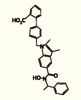 Cc1c(C)n(Cc2ccc(-c3ccccc3C(=O)O)cc2)c2ccc(C(=O)N(O)C(C)c3ccccc3)cc12